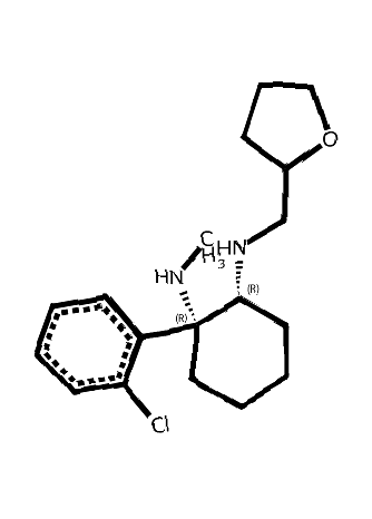 CN[C@@]1(c2ccccc2Cl)CCCC[C@H]1NCC1CCCO1